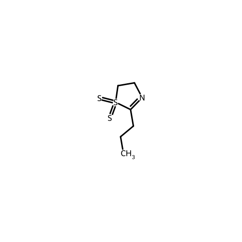 CCCC1=NCCS1(=S)=S